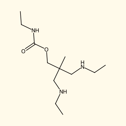 CCNCC(C)(CNCC)COC(=O)NCC